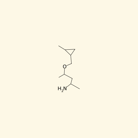 CC(N)CC(C)OCC1CC1C